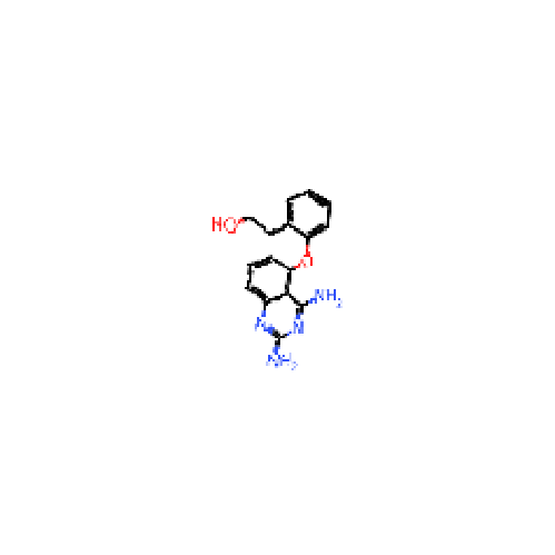 Nc1nc(N)c2c(Oc3ccccc3CCO)cccc2n1